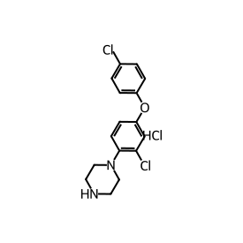 Cl.Clc1ccc(Oc2ccc(N3CCNCC3)c(Cl)c2)cc1